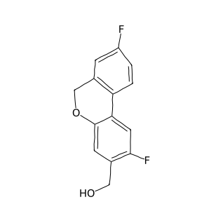 OCc1cc2c(cc1F)-c1ccc(F)cc1CO2